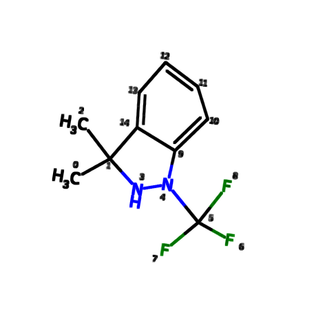 CC1(C)NN(C(F)(F)F)c2ccccc21